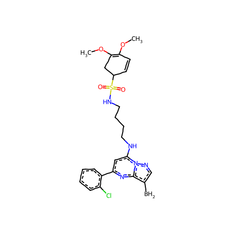 Bc1cnn2c(NCCCCNS(=O)(=O)C3C=CC(OC)=C(OC)C3)cc(-c3ccccc3Cl)nc12